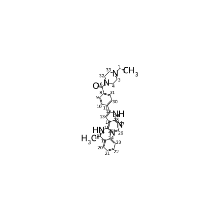 CCN1CCN(C(=O)c2ccc(-c3cc4c(NC(C)c5ccccc5)ncnc4[nH]3)cc2)CC1